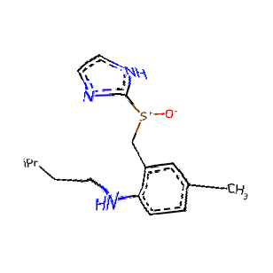 Cc1ccc(NCCC(C)C)c(C[S+]([O-])c2ncc[nH]2)c1